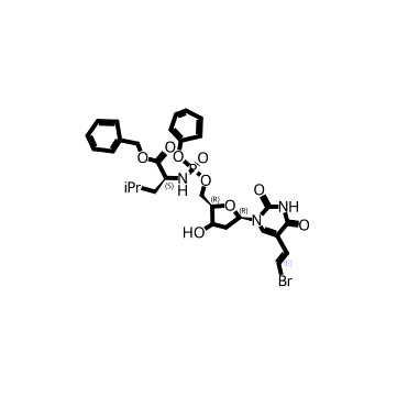 CC(C)C[C@H](NP(=O)(OC[C@H]1O[C@@H](n2cc(/C=C/Br)c(=O)[nH]c2=O)CC1O)Oc1ccccc1)C(=O)OCc1ccccc1